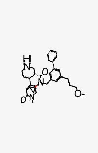 COCCCc1cc(CN(C(=O)[C@H]2CNCC[C@@H]2c2ccn(C)c(=O)c2)C2CC2)cc(-c2ccccc2)c1